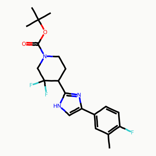 Cc1cc(-c2c[nH]c(C3CCN(C(=O)OC(C)(C)C)CC3(F)F)n2)ccc1F